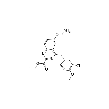 CCOC(=O)c1nc(Cc2ccc(OC)c(Cl)c2)c2cc(OCN)ccc2n1